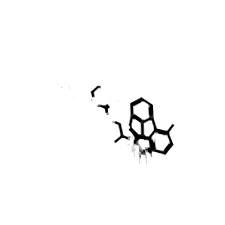 Cc1ccc2[nH]c3c(Br)c2c1-c1cccc-3c1-c1nnnn1C(C)COC(=O)N[C@H](C(=O)O)C(C)C